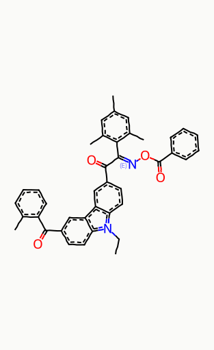 CCn1c2ccc(C(=O)/C(=N/OC(=O)c3ccccc3)c3c(C)cc(C)cc3C)cc2c2cc(C(=O)c3ccccc3C)ccc21